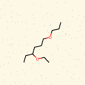 [CH2]CC(CCCOCCC)OCC